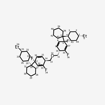 CC[C@H]1CC[C@H](C2([C@@]3(F)C=C[C@@H](COC[C@@H]4C=C[C@](F)(C5([C@H]6CC[C@H](CC)CC6)CCCCC5)C=C4F)C(F)=C3)CCCCC2)CC1